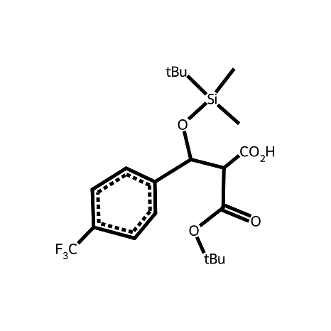 CC(C)(C)OC(=O)C(C(=O)O)C(O[Si](C)(C)C(C)(C)C)c1ccc(C(F)(F)F)cc1